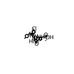 CC1CCC(Cn2nc(-c3nc(N)c4c(n3)NC(=O)[C@]4(C)c3ccc(CCC(=O)O)cc3)c3ccc(Cl)cc32)CC1